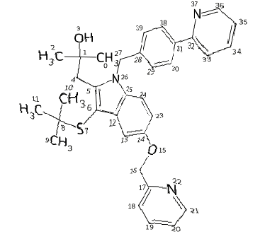 CC(C)(O)Cc1c(SC(C)(C)C)c2cc(OCc3ccccn3)ccc2n1Cc1ccc(-c2ccccn2)cc1